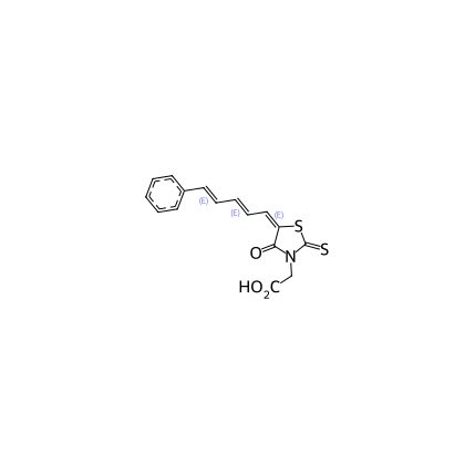 O=C(O)CN1C(=O)\C(=C/C=C/C=C/c2ccccc2)SC1=S